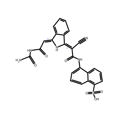 N#C/C(C(=O)Nc1cccc2c(S(=O)(=O)O)cccc12)=c1/[nH]/c(=C\C(=O)NC(N)=O)c2ccccc12